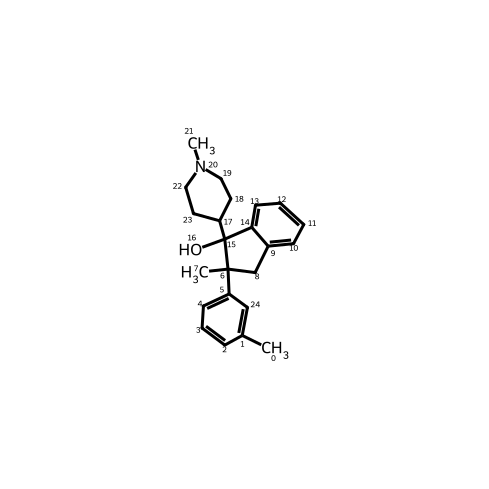 Cc1cccc(C2(C)Cc3ccccc3C2(O)C2CCN(C)CC2)c1